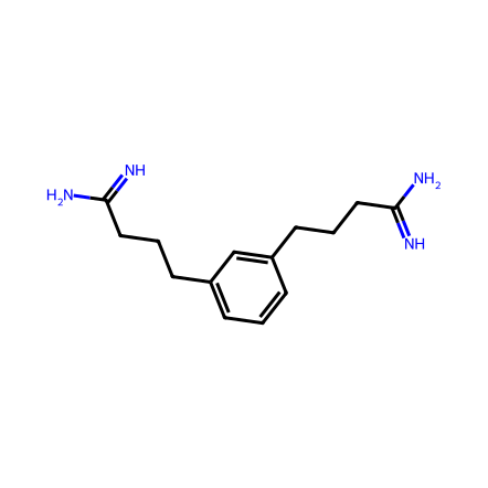 N=C(N)CCCc1cccc(CCCC(=N)N)c1